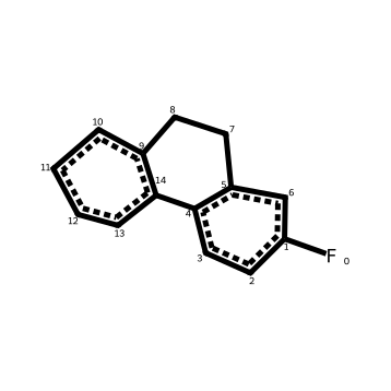 Fc1ccc2c(c1)CCc1ccccc1-2